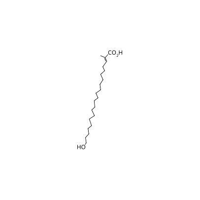 CC(=CCCCCCCCCCCCCCCCCCCO)C(=O)O